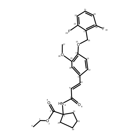 CCOC(=O)C1(NC(=O)/C=C/c2ccc(OCc3c(F)cccc3F)c(OC)c2)CCCC1